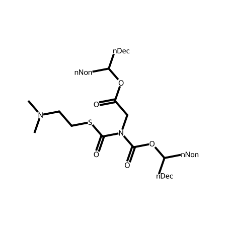 CCCCCCCCCCC(CCCCCCCCC)OC(=O)CN(C(=O)OC(CCCCCCCCC)CCCCCCCCCC)C(=O)SCCN(C)C